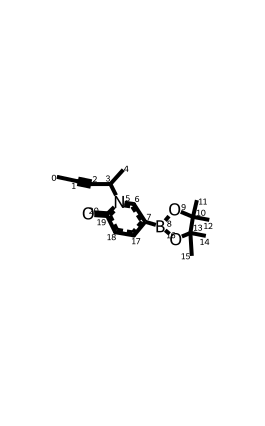 CC#CC(C)n1cc(B2OC(C)(C)C(C)(C)O2)ccc1=O